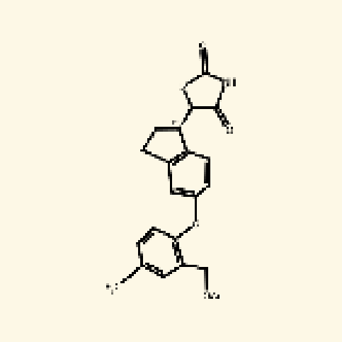 CC(=O)OCc1cc(C(F)(F)F)ccc1Oc1ccc2c(c1)CC[C@H]2C1SC(=O)NC1=O